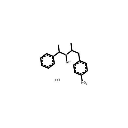 CCCN(C(C)Cc1ccc([N+](=O)[O-])cc1)C(C)c1ccccc1.Cl